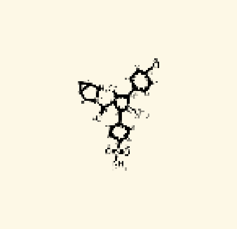 Cc1c(C(=O)N2CC3CC3C2)c(-c2ccc(S(N)(=O)=O)cc2)n(C)c1-c1ccc(Cl)cc1